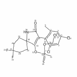 Cc1cc(Cl)cc(Cl)c1C1=C(OP(C)(=S)OCC(F)(F)F)C2(CCC(F)(F)CC2)NC1=O